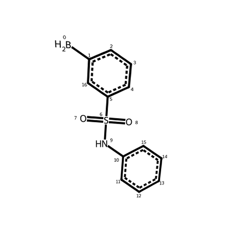 Bc1cccc(S(=O)(=O)Nc2ccccc2)c1